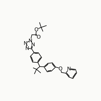 CC(C)(C)OC(=O)Cn1nnc(-c2ccc(C(c3ccc(OCc4ccccn4)cc3)C(C)(C)C)cc2)n1